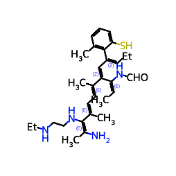 C\C=C(NC=O)/C(=C\C(=C\CC)c1c(C)cccc1S)C(/C)=C/C=C(C)/C(NCCNCC)=C(/C)N